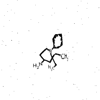 CCC1(CC)CC(N)CCN1c1ccccc1